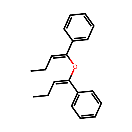 CCC=C(OC(=CCC)c1ccccc1)c1ccccc1